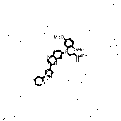 COc1ccc(OC)c(N(CCNC(C)C)c2ccc3ncc(-c4cnn(C5CCCCO5)c4)nc3c2)c1